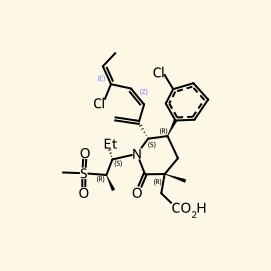 C=C(/C=C\C(Cl)=C/C)[C@@H]1[C@@H](c2cccc(Cl)c2)C[C@](C)(CC(=O)O)C(=O)N1[C@@H](CC)[C@@H](C)S(C)(=O)=O